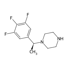 C[C@@H](c1cc(F)c(F)c(F)c1)N1CCNCC1